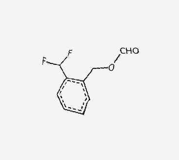 O=COCc1ccccc1C(F)F